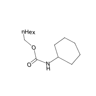 CCCCCCCOC(=O)NC1CCCCC1